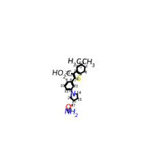 CC1(C)CCc2sc(-c3cccc(N4CC[C@H](CON)C4)c3)c(C(=O)O)c2C1